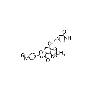 COc1c(OCCN2CCNC(=O)C2)cc2oc(-c3ccc(N=O)cc3)cc(=O)c2c1N=O